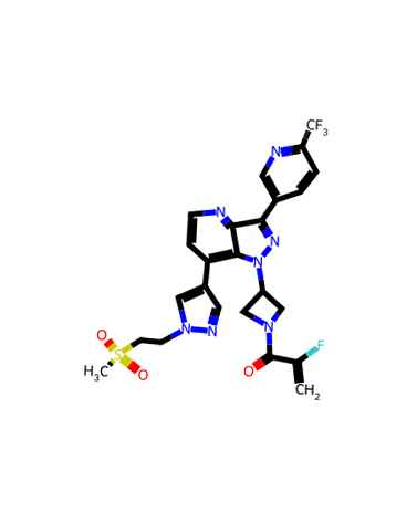 C=C(F)C(=O)N1CC(n2nc(-c3ccc(C(F)(F)F)nc3)c3nccc(-c4cnn(CCS(C)(=O)=O)c4)c32)C1